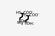 CCCCCCCCCCCCC(S)C(=O)[O-].CCCCCCCCCCCCC(S)C(=O)[O-].[Mg+2]